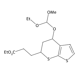 CCOC(=O)CCC1CC(OC(OC)OCC)c2ccsc2S1